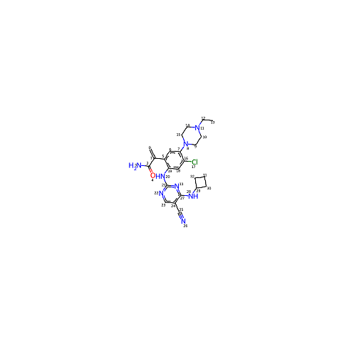 C=C(C(N)=O)c1cc(N2CCN(CC)CC2)c(Cl)cc1Nc1ncc(C#N)c(NC2CCC2)n1